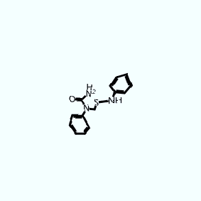 NC(=O)N(CSNc1ccccc1)c1ccccc1